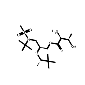 C[C@H](O[C@H](COC(=O)[C@@H](N)[C@@H](C)O)CN(C(C)(C)C)S(C)(=O)=O)C(C)(C)C